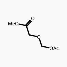 COC(=O)COCOC(C)=O